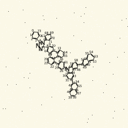 c1ccc(-c2nnc(-c3ccc(-c4ccccc4-c4ccccc4-c4ccc(-n5c6ccc(-c7ccc8ccccc8c7)cc6c6cc(-c7ccc8ccccc8c7)ccc65)cc4)cc3)n2-c2ccccc2)cc1